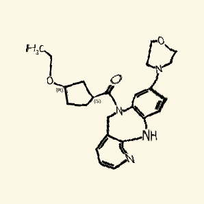 CCO[C@@H]1CC[C@H](C(=O)N2Cc3cccnc3Nc3ccc(N4CCOCC4)cc32)C1